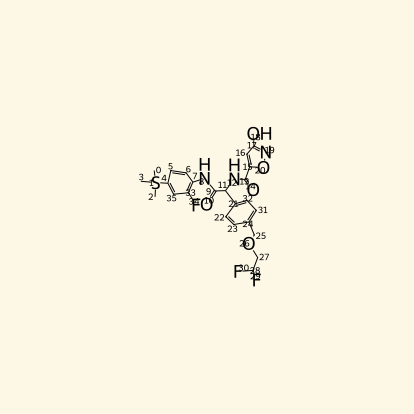 CS(C)(C)c1ccc(NC(=O)C(NC(=O)c2cc(O)no2)c2ccc(COCC(F)F)cc2)c(F)c1